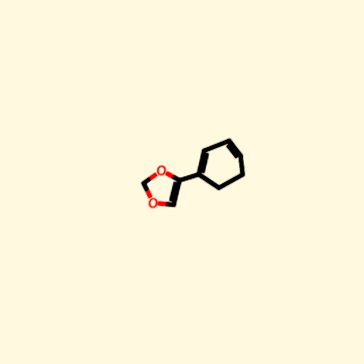 C1=CCCC(C2=COCO2)=C1